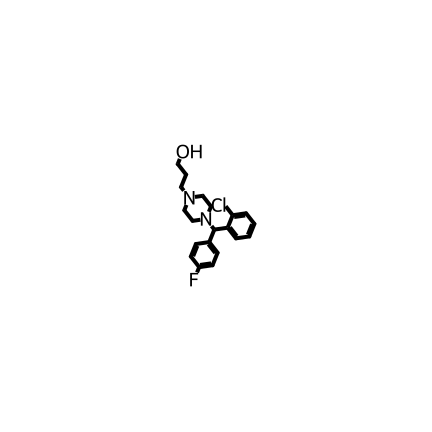 OCCCN1CCN(C(c2ccc(F)cc2)c2ccccc2Cl)CC1